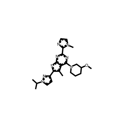 COC1CCCN(c2nc(-c3nccn3C)nc3sc(-c4ccn(C(C)C)n4)c(C)c23)C1